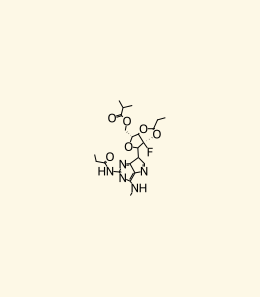 CCC(=O)Nc1nc(NC)c2c(n1)C(C1O[C@H](COC(=O)C(C)C)[C@@H](OC(=O)CC)[C@@]1(C)F)C=N2